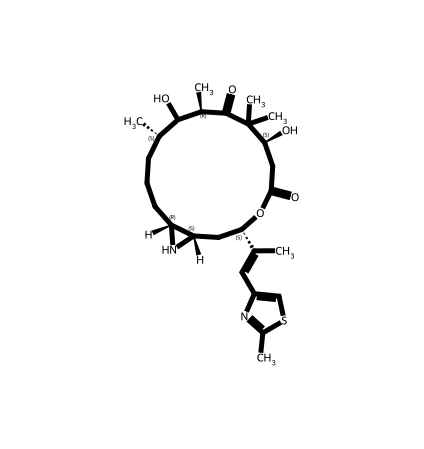 CC(=Cc1csc(C)n1)[C@@H]1C[C@@H]2N[C@@H]2CCC[C@H](C)C(O)[C@@H](C)C(=O)C(C)(C)[C@@H](O)CC(=O)O1